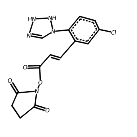 O=C(/C=C/c1cc(Cl)ccc1N1C=NNN1)ON1C(=O)CCC1=O